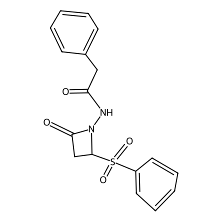 O=C(Cc1ccccc1)NN1C(=O)CC1S(=O)(=O)c1ccccc1